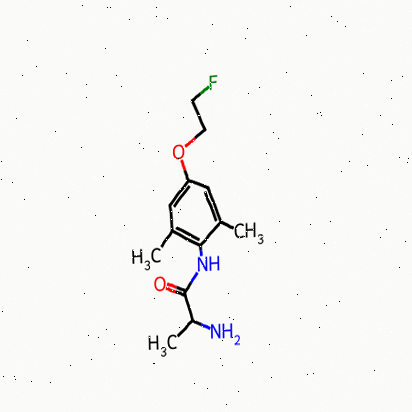 Cc1cc(OCCF)cc(C)c1NC(=O)C(C)N